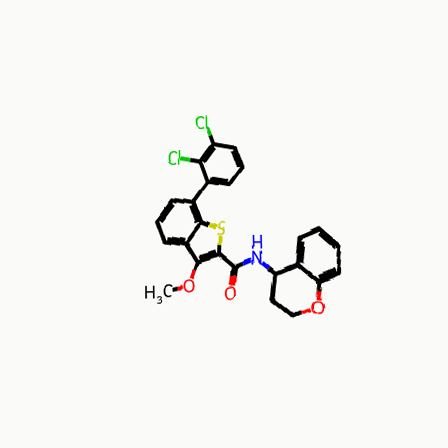 COc1c(C(=O)NC2CCOc3ccccc32)sc2c(-c3cccc(Cl)c3Cl)cccc12